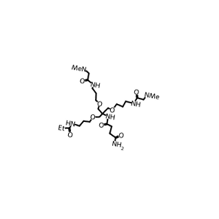 CCC(=O)NCCCOCC(COCCCNC(=O)CNC)(COCCCNC(=O)CNC)NC(=O)CCC(N)=O